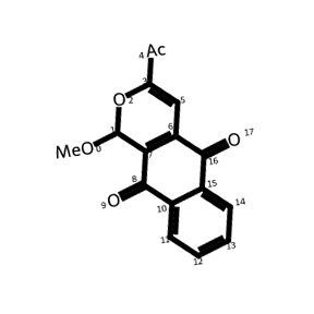 COC1OC(C(C)=O)=CC2=C1C(=O)c1ccccc1C2=O